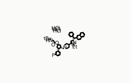 CCn1nc([C@H](c2ccccc2)c2ccc3ccccc3c2)cc1C1CCN(C[C@H]2C[C@H](OC(=O)CNC(C)(C)C)C[C@@H]2c2cccc(F)c2)CC1.Cl.Cl.Cl